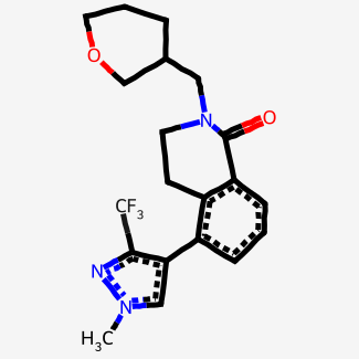 Cn1cc(-c2cccc3c2CCN(CC2CCCOC2)C3=O)c(C(F)(F)F)n1